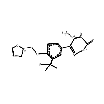 C[C@@H]1NC(=O)NN=C1c1ccc(OC[C@@H]2CCCO2)c(C(F)(F)F)c1